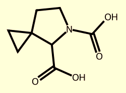 O=C(O)C1N(C(=O)O)CCC12CC2